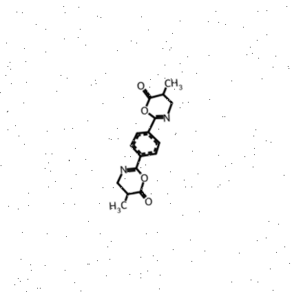 CC1CN=C(c2ccc(C3=NCC(C)C(=O)O3)cc2)OC1=O